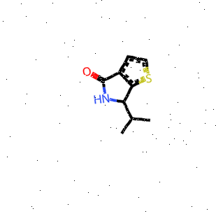 CC(C)C1NC(=O)c2ccsc21